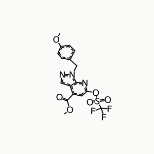 COC(=O)c1cc(OS(=O)(=O)C(F)(F)F)nc2c1cnn2Cc1ccc(OC)cc1